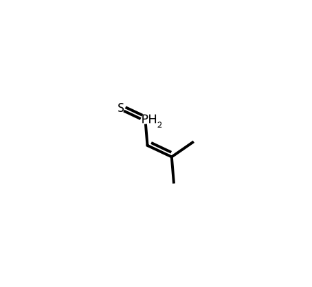 CC(C)=C[PH2]=S